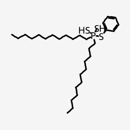 CCCCCCCCCCCCP(S)(S)(CCCCCCCCCCCC)Sc1ccccc1